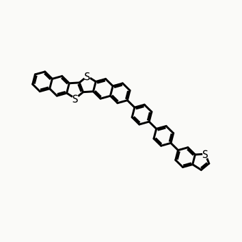 c1ccc2cc3c(cc2c1)sc1c2cc4cc(-c5ccc(-c6ccc(-c7ccc8ccsc8c7)cc6)cc5)ccc4cc2sc31